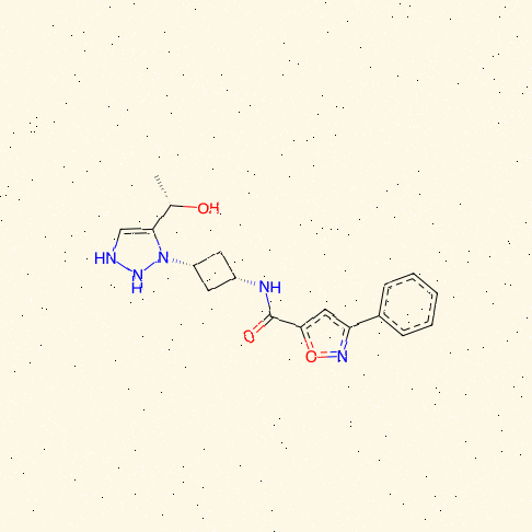 C[C@H](O)C1=CNNN1[C@H]1C[C@@H](NC(=O)c2cc(-c3ccccc3)no2)C1